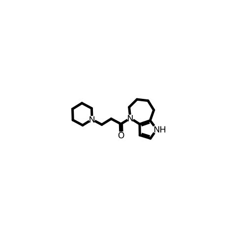 O=C(CCN1CCCCC1)N1CCCCc2[nH]ccc21